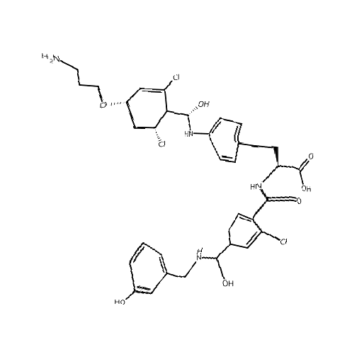 NCCCO[C@@H]1C=C(Cl)C([C@H](O)Nc2ccc(C[C@H](NC(=O)C3=CCC(C(O)NCc4cccc(O)c4)C=C3Cl)C(=O)O)cc2)[C@H](Cl)C1